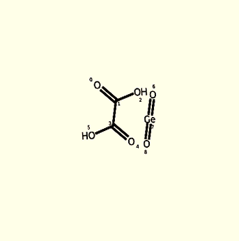 O=C(O)C(=O)O.[O]=[Ge]=[O]